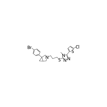 Cn1c(SCCCN2CC3CC3(c3ccc(Br)cc3)C2)nnc1-c1ccc(Cl)s1